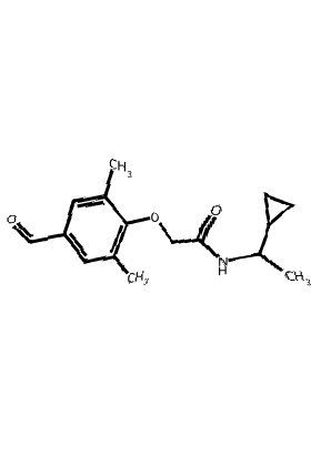 Cc1cc(C=O)cc(C)c1OCC(=O)NC(C)C1CC1